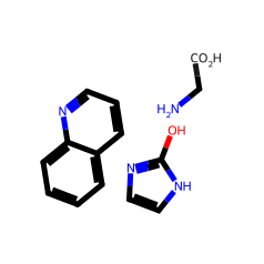 NCC(=O)O.Oc1ncc[nH]1.c1ccc2ncccc2c1